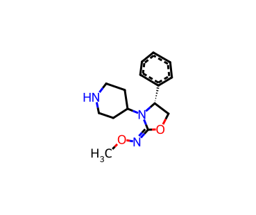 CON=C1OC[C@@H](c2ccccc2)N1C1CCNCC1